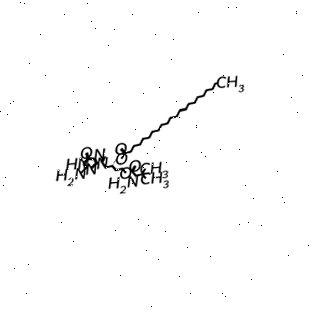 CCCCCCCC/C=C/CCCCCCCCCCCC(=O)OC[C@H](CCOC(=O)[C@@H](N)C(C)C)Cn1cnc2c(=O)[nH]c(N)nc21